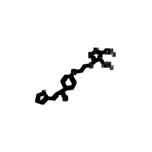 Cc1nnc(SCCOc2ccc(C(=O)C=Cc3cccs3)cc2)n1N